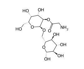 NCC(=O)O[C@H]1[C@@H](OC[C@H]2O[C@@H](O)[C@H](O)[C@@H](O)[C@@H]2O)O[C@H](CO)[C@H](O)[C@@H]1O